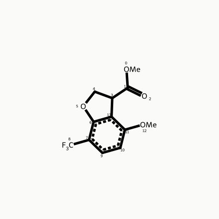 COC(=O)C1COc2c(C(F)(F)F)ccc(OC)c21